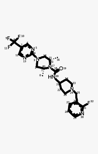 C[C@@H]1CN(c2ncc(C(F)(F)F)cn2)C[C@H](C)N1C(=O)NC1CCN(Cc2cccnc2F)CC1